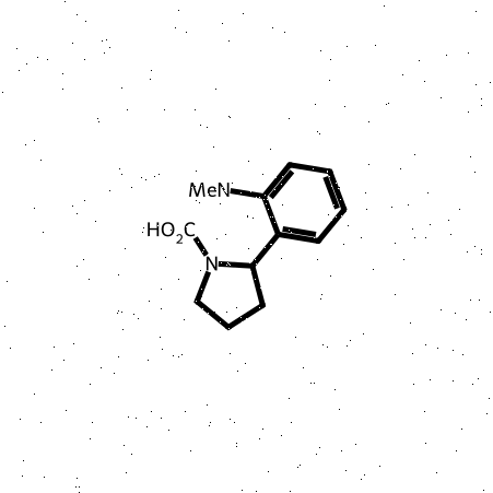 CNc1ccccc1C1CCCN1C(=O)O